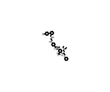 CCN(CC)CC[C@H](CSc1ccccc1)Nc1ccc(S(=O)(=O)NC(=O)c2ccc(NCCNCc3ccccc3-c3ccc(Cl)cc3)cc2)cc1C(F)(F)F